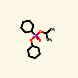 CC(C)OP(=O)(OC1CCCCC1)C1CCCCC1